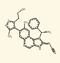 Cc1cc2c(cc1-c1c(C)noc1CCO)ncc1[nH]c(=NC#N)n([C@H](C)c3ccccc3)c12